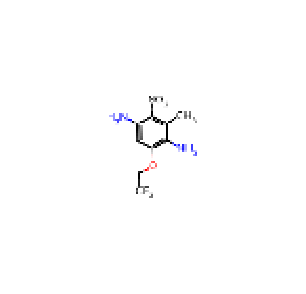 Cc1c(N)c(OCC(F)(F)F)cc(N)c1[N+](=O)[O-]